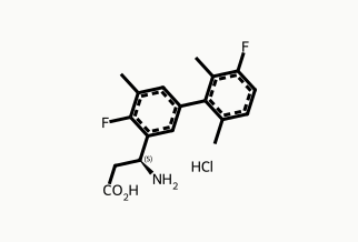 Cc1cc(-c2c(C)ccc(F)c2C)cc([C@@H](N)CC(=O)O)c1F.Cl